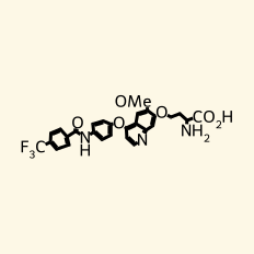 COc1cc2c(Oc3ccc(NC(=O)c4ccc(C(F)(F)F)cc4)cc3)ccnc2cc1OCCC(N)C(=O)O